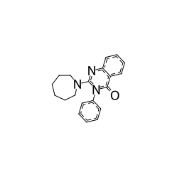 O=c1c2ccccc2nc(N2CCCCCC2)n1-c1ccccc1